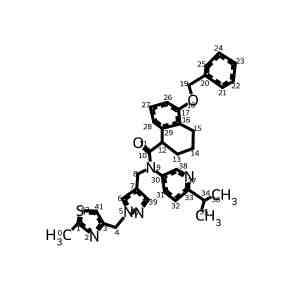 Cc1nc(Cn2cc(CN(C(=O)C3CCCc4c(OCc5ccccc5)cccc43)c3ccc(C(C)C)nc3)cn2)cs1